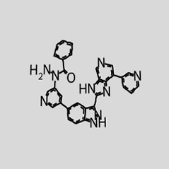 NN(C(=O)c1ccccc1)c1cncc(-c2ccc3[nH]nc(-c4nc5c(-c6cccnc6)cncc5[nH]4)c3c2)c1